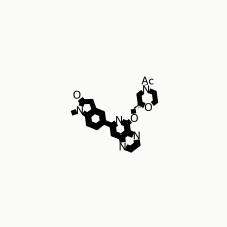 CC(=O)N1CCO[C@H](COc2nc(-c3ccc4c(c3)CC(=O)N4C)cc3nccnc23)C1